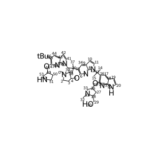 CN1CCC(Oc2nc3c(ccn3C(C)(C)c3cc4cc[nH]c4nc3OC3CC(CO)N(C)C3)cc2C(C)(C)Cn2ccc3cc(C(C)(C)C)c(OC4CCNC4)nc32)C1